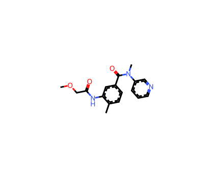 COCC(=O)Nc1cc(C(=O)N(C)c2cccnc2)ccc1C